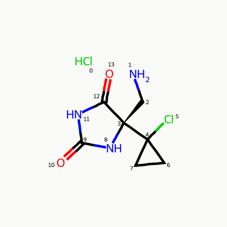 Cl.NC[C@@]1(C2(Cl)CC2)NC(=O)NC1=O